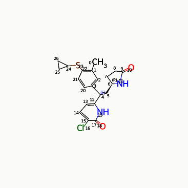 Cc1cc(/C(=C\[C@H]2CCC(=O)N2)c2ccc(Cl)c(=O)[nH]2)ccc1SC1CC1